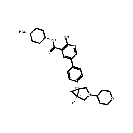 Nc1ncc(-c2ccc([C@@]34C[C@@H]3CN(C3CCOCC3)C4)cc2)cc1C(=O)N[C@H]1CC[C@@H](O)CC1